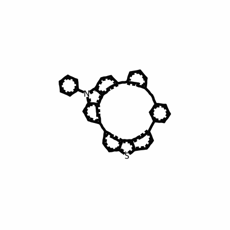 c1ccc(-n2c3ccc4cc3c3cc(ccc32)-c2ccc3sc5ccc(cc5c3c2)-c2cccc(c2)Cc2cccc-4c2)cc1